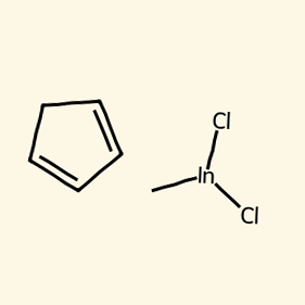 C1=CCC=C1.[CH3][In]([Cl])[Cl]